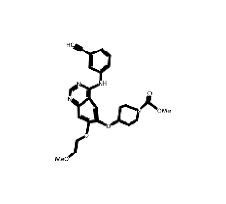 C#Cc1cccc(Nc2ncnc3cc(OCCOC)c(OC4CCN(C(=O)OC)CC4)cc23)c1